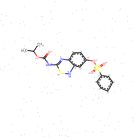 CC(C)OC(=O)NC1=Nc2ccc(OS(=O)(=O)c3ccccc3)cc2NS1